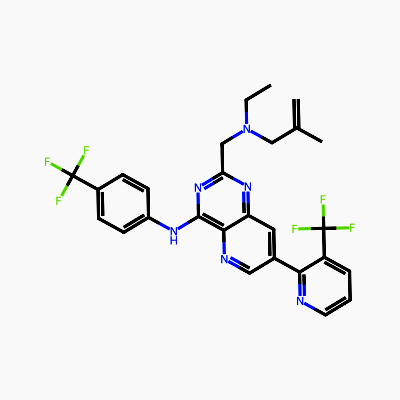 C=C(C)CN(CC)Cc1nc(Nc2ccc(C(F)(F)F)cc2)c2ncc(-c3ncccc3C(F)(F)F)cc2n1